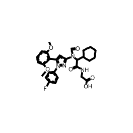 COc1cccc(OC)c1-c1cc(N(C=O)C(C(=O)NCC(=O)O)C2CCCCC2)nn1-c1ccc(F)cc1